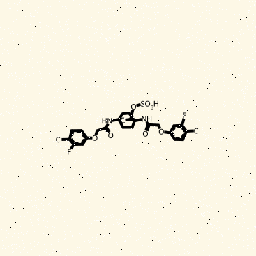 O=C(COc1ccc(Cl)c(F)c1)NC12CCC(NC(=O)COc3ccc(Cl)c(F)c3)(CC1)C(OS(=O)(=O)O)C2